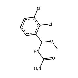 COC(NC(N)=O)c1cccc(Cl)c1Cl